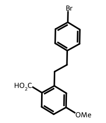 COc1ccc(C(=O)O)c(CCc2ccc(Br)cc2)c1